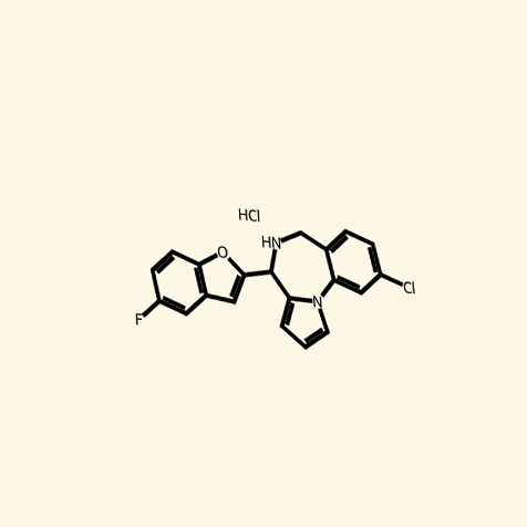 Cl.Fc1ccc2oc(C3NCc4ccc(Cl)cc4-n4cccc43)cc2c1